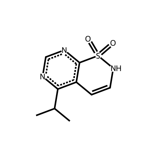 CC(C)c1ncnc2c1C=CNS2(=O)=O